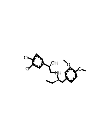 CC[C@H](Cc1ccc(OC)c(OC)c1)NC[C@H](O)c1ccc(Cl)c(Cl)c1